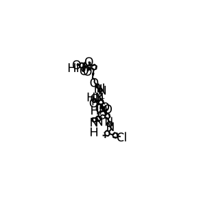 CC1(C)CCC(CN2CCN(c3ccc(C(=O)NS(=O)(=O)c4ccc(NCc5cn(CCOCCC#Cc6cccc7c6C(=O)N(C6CCC(=O)NC6=O)C7=O)nn5)c([N+](=O)[O-])c4)c(Oc4cnc5[nH]ccc5c4)c3)CC2)=C(c2ccc(Cl)cc2)C1